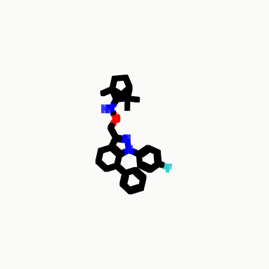 CC12CCC(C1)C(C)(C)C2NOCc1nn(-c2ccc(F)cc2)c2c1CCCC2c1ccccc1